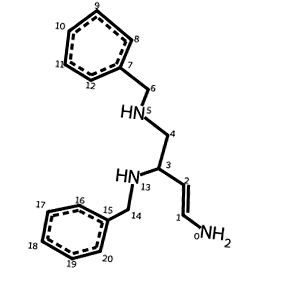 NC=CC(CNCc1ccccc1)NCc1ccccc1